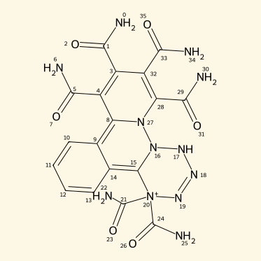 NC(=O)C1=C(C(N)=O)C2=c3ccccc3=C3N(NN=N[N+]3(C(N)=O)C(N)=O)N2C(C(N)=O)=C1C(N)=O